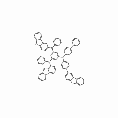 c1ccc(-c2ccc(N(c3ccc(-c4ccc5oc6ccccc6c5c4)cc3)c3cc(N(c4ccccc4)c4ccc5oc6ccccc6c5c4)cc(N(c4ccccc4)c4cccc5c4oc4ccccc45)c3)cc2)cc1